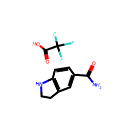 NC(=O)c1ccc2c(c1)CCN2.O=C(O)C(F)(F)F